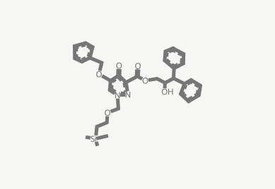 C[Si](C)(C)CCOCn1cc(OCc2ccccc2)c(=O)c(C(=O)OCC(O)C(c2ccccc2)c2ccccc2)n1